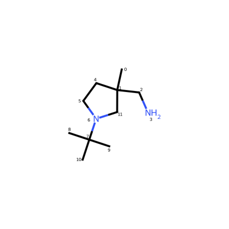 CC1(CN)CCN(C(C)(C)C)C1